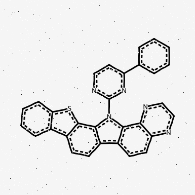 c1ccc(-c2ccnc(-n3c4c(ccc5nccnc54)c4ccc5c6ccccc6sc5c43)n2)cc1